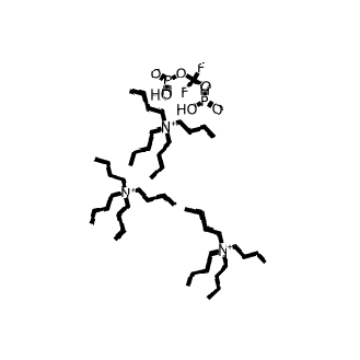 CCCC[N+](CCCC)(CCCC)CCCC.CCCC[N+](CCCC)(CCCC)CCCC.CCCC[N+](CCCC)(CCCC)CCCC.O=[PH](O)OC(F)(F)O[PH](=O)O